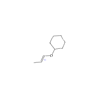 C/C=C/OC1CCCCC1